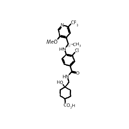 COc1cnc(C(F)(F)F)cc1[C@H](C)Nc1ccc(C(=O)NCC2(O)CCC(C(=O)O)CC2)cc1Cl